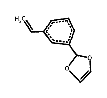 C=Cc1cccc(C2OC=CO2)c1